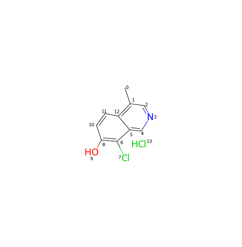 Cc1cncc2c(Cl)c(O)ccc12.Cl